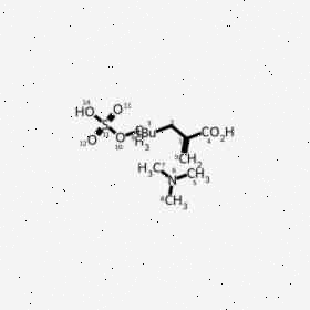 C=C(CC(C)(C)C)C(=O)O.CN(C)C.COS(=O)(=O)O